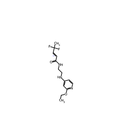 CCOc1cc(NCCNC(=O)/C=C/C(C)(F)F)ccn1